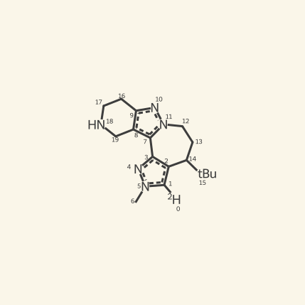 [2H]c1c2c(nn1C)-c1c3c(nn1CCC2C(C)(C)C)CCNC3